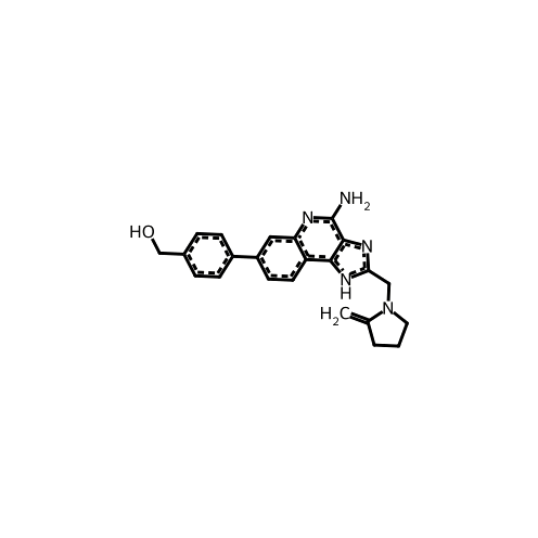 C=C1CCCN1Cc1nc2c(N)nc3cc(-c4ccc(CO)cc4)ccc3c2[nH]1